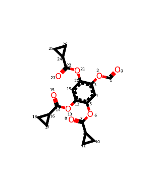 O=COc1cc(OC(=O)C2CC2)c(OC(=O)C2CC2)cc1OC(=O)C1CC1